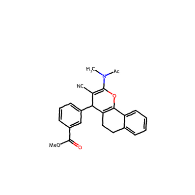 COC(=O)c1cccc(C2C(C#N)=C(N(C)C(C)=O)OC3=C2CCc2ccccc23)c1